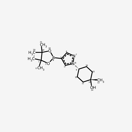 CC1(C)OB(c2cnn([C@H]3CC[C@@](C)(O)CC3)c2)OC1(C)C